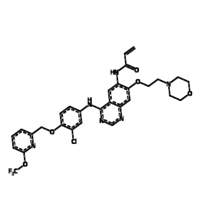 C=CC(=O)Nc1cc2c(Nc3ccc(OCc4cccc(OC(F)(F)F)n4)c(Cl)c3)ncnc2cc1OCCN1CCOCC1